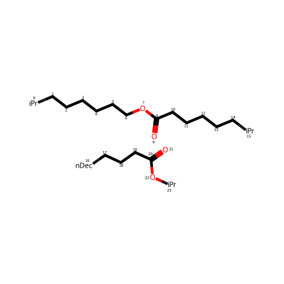 CC(C)CCCCCCOC(=O)CCCCCC(C)C.CCCCCCCCCCCCCC(=O)OC(C)C